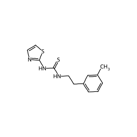 Cc1cccc(CCNC(=S)Nc2nccs2)c1